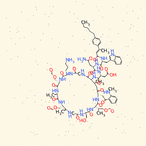 C=C1NCC(=O)N[C@H](CO)C(=O)N[C@@H](C(C)COC=O)C(=O)N[C@@H](CC(=O)c2ccccc2NC)C(=O)C[C@H](C)[C@H](NC(=O)[C@H](CC(=O)O)NC(=O)[C@@H](CC(N)=O)NC(=O)[C@H](Cc2c[nH]c3ccccc23)NC(=O)/C=C(\C)c2ccc(CCCCC)cc2)C(=O)NCC(=O)N[C@@H](CCCN)C(=O)N[C@@H](COC=O)C(=O)N[C@H](C)C(=O)N[C@H]1COC=O